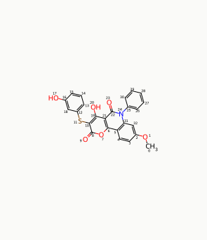 COc1ccc2c3oc(=O)c(Sc4cccc(O)c4)c(O)c3c(=O)n(-c3ccccc3)c2c1